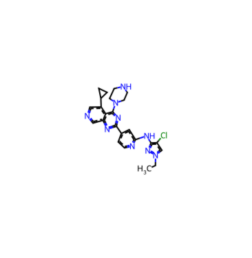 CCn1cc(Cl)c(Nc2cc(-c3nc(N4CCNCC4)c4c(C5CC5)cncc4n3)ccn2)n1